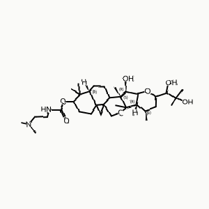 C[C@@H]1CC(C(O)C(C)(C)O)OC2[C@H]1C1(C)CCC34CC35CCC(OC(=O)NCCN(C)C)C(C)(C)[C@@H]5CCC4[C@]1(C)[C@H]2O